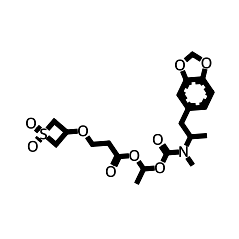 CC(OC(=O)CCOC1CS(=O)(=O)C1)OC(=O)N(C)C(C)Cc1ccc2c(c1)OCO2